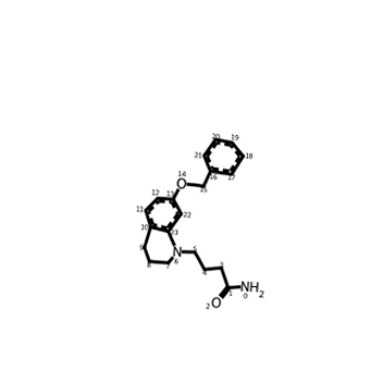 NC(=O)CCCN1CCCc2ccc(OCc3ccccc3)cc21